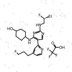 CC[C@H](F)CNc1ncc(-c2cc(CCCF)ccn2)c(NC2CCC(O)CC2)n1.O=C(O)C(F)(F)F